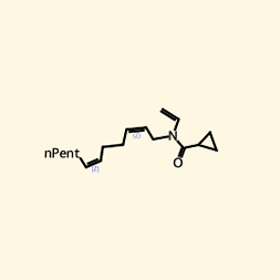 C=CN(C/C=C\CC/C=C\CCCCC)C(=O)C1CC1